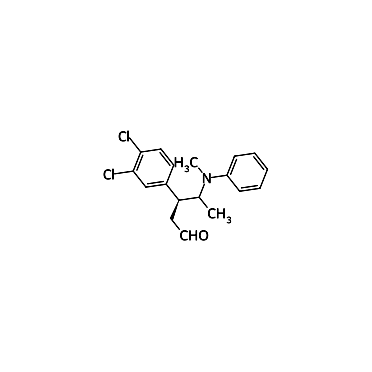 CC([C@@H](CC=O)c1ccc(Cl)c(Cl)c1)N(C)c1ccccc1